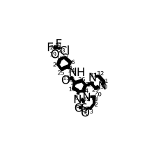 C[C@@H]1CCS(=O)(=O)c2nc3cc(C(=O)Nc4ccc(OC(F)(F)Cl)cc4)cc(-c4cnccn4)c3n21